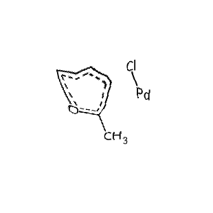 Cc1ccco1.[Cl][Pd]